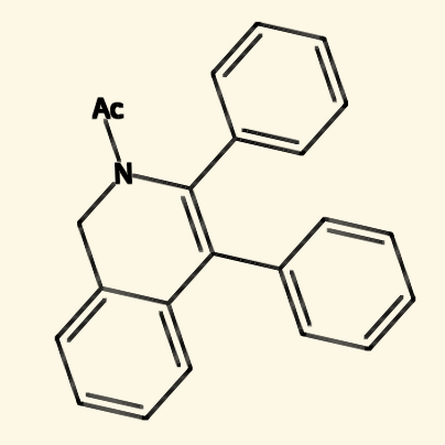 CC(=O)N1Cc2ccccc2C(c2ccccc2)=C1c1ccccc1